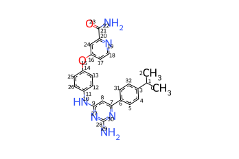 CC(C)c1ccc(-c2cc(Nc3ccc(Oc4ccnc(C(N)=O)c4)cc3)nc(N)n2)cc1